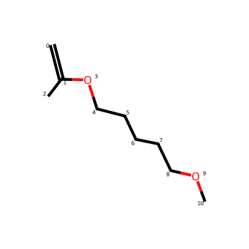 C=C(C)OCCCCCOC